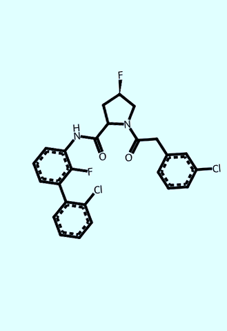 O=C(Nc1cccc(-c2ccccc2Cl)c1F)C1C[C@@H](F)CN1C(=O)Cc1cccc(Cl)c1